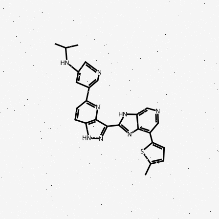 Cc1ccc(-c2cncc3[nH]c(-c4n[nH]c5ccc(-c6cncc(NC(C)C)c6)nc45)nc23)s1